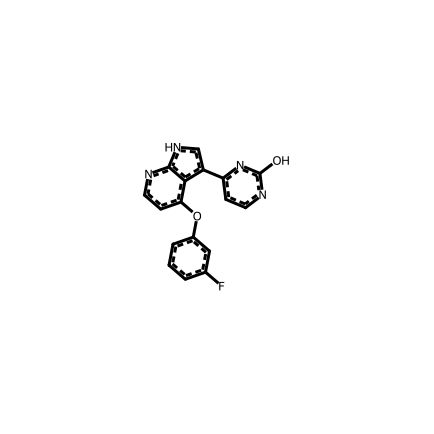 Oc1nccc(-c2c[nH]c3nccc(Oc4cccc(F)c4)c23)n1